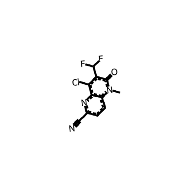 Cn1c(=O)c(C(F)F)c(Cl)c2nc(C#N)ccc21